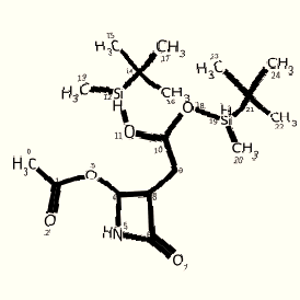 CC(=O)OC1NC(=O)C1CC(O[SiH](C)C(C)(C)C)O[SiH](C)C(C)(C)C